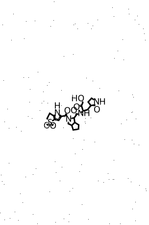 O=C1NCCC1CC(NC(=O)C1C2CCCC2CN1C(=O)c1cc2c([nH]1)CCS2(=O)=O)C(=O)CO